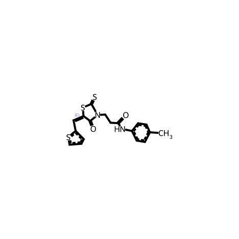 Cc1ccc(NC(=O)CCN2C(=O)/C(=C\c3cccs3)SC2=S)cc1